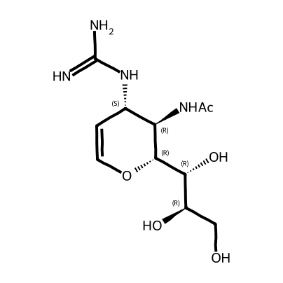 CC(=O)N[C@H]1[C@H]([C@H](O)[C@H](O)CO)OC=C[C@@H]1NC(=N)N